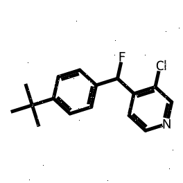 CC(C)(C)c1ccc(C(F)c2ccncc2Cl)cc1